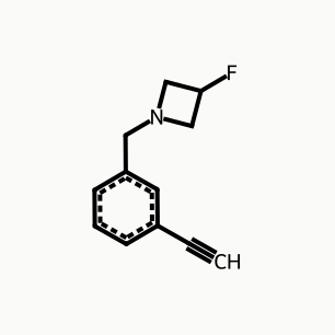 C#Cc1cccc(CN2CC(F)C2)c1